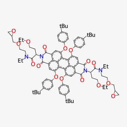 CCOCCC(C(=O)N(CC)CCOCC1CO1)N1C(=O)c2cc(Oc3ccc(C(C)(C)C)cc3)c3c4c(Oc5ccc(C(C)(C)C)cc5)cc5c6c(cc(Oc7ccc(C(C)(C)C)cc7)c(c7c(Oc8ccc(C(C)(C)C)cc8)cc(c2c37)C1=O)c64)C(=O)N(C(CCOCC)C(=O)N(CC)CCOCC1CO1)C5=O